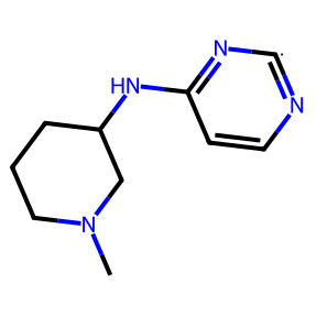 CN1CCCC(Nc2ccn[c]n2)C1